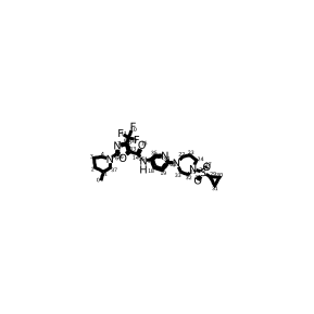 CC1CCCN(c2nc(C(F)(F)F)c(C(=O)Nc3ccc(N4CCCN(S(=O)(=O)C5CC5)CC4)nc3)o2)C1